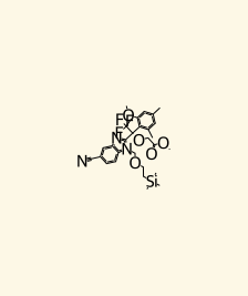 COC(=O)COC(c1c(C)cc(C)cc1OC)(c1nc2cc(C#N)ccc2n1COCC[Si](C)(C)C)C(F)(F)F